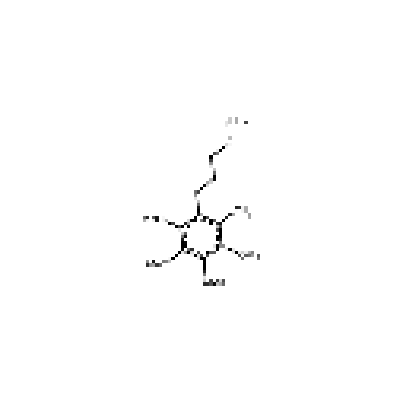 CCCCCCSCCCc1c(C)c(OC)c(OC)c(OC)c1OC